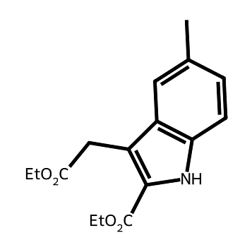 CCOC(=O)Cc1c(C(=O)OCC)[nH]c2ccc(C)cc12